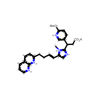 COc1ccc(C(CC(=O)O)c2ncc(C=CCCc3ccc4cccnc4n3)n2C)cn1